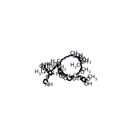 CCn1c(-c2nonc2N)nc2c(C#CC(C)(C)O[C@H]3C[C@@H]4CC[C@@H](C)[C@@](O)(O4)C(=O)C(=O)N4CCCC[C@H]4C(=O)O[C@H](C(C)C[C@H]4CC[C@@H](O)[C@H](OC)C4)CC(=O)[C@H](C)/C=C(\C)[C@@H](O)[C@@H](OC)C(=O)[C@H](C)C[C@H](C)/C=C/C=C/C=C\3C)ncc(OC[C@H]3CCCNC3)c21